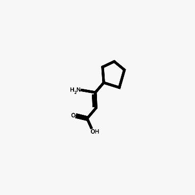 N/C(=C\C(=O)O)C1CCCC1